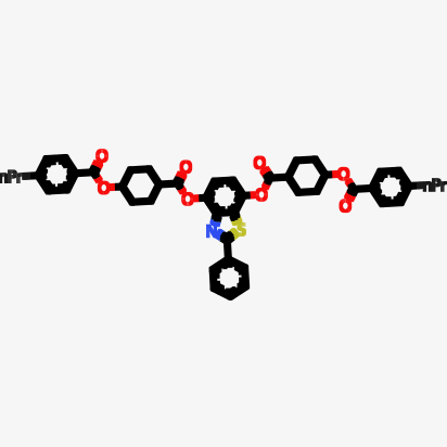 CCCc1ccc(C(=O)OC2CCC(C(=O)Oc3ccc(OC(=O)C4CCC(OC(=O)c5ccc(CCC)cc5)CC4)c4sc(-c5ccccc5)nc34)CC2)cc1